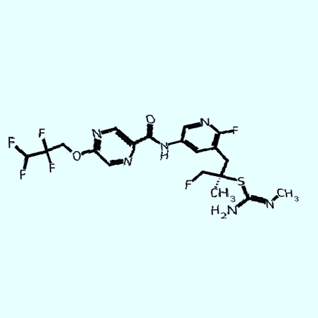 C/N=C(/N)S[C@@](C)(CF)Cc1cc(NC(=O)c2cnc(OCC(F)(F)C(F)F)cn2)cnc1F